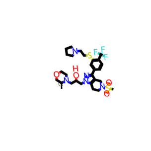 C[C@H]1COCCN1CC(O)Cn1nc(-c2ccc(C(F)(F)F)c(SCCN3CCCC3)c2)c2c1CCN(S(C)(=O)=O)C2